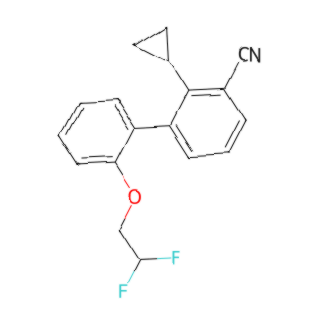 N#Cc1cccc(-c2ccccc2OCC(F)F)c1C1CC1